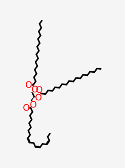 CC/C=C\C/C=C\C/C=C\CCCCCCCC(=O)OC[C@@H](COC(=O)CCCCCCCCCCCCCCCCC)OC(=O)CCCCCCCCCCCCCCCCC